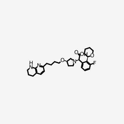 O=C(O)[C@@H](c1cccc(F)c1[C@H]1CCCCO1)N1CC[C@@H](OCCCCc2ccc3c(n2)NCCC3)C1